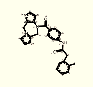 Cc1ccccc1CC(=O)Nc1ccc(C(=O)N2Cc3cccn3Cc3sccc32)cc1